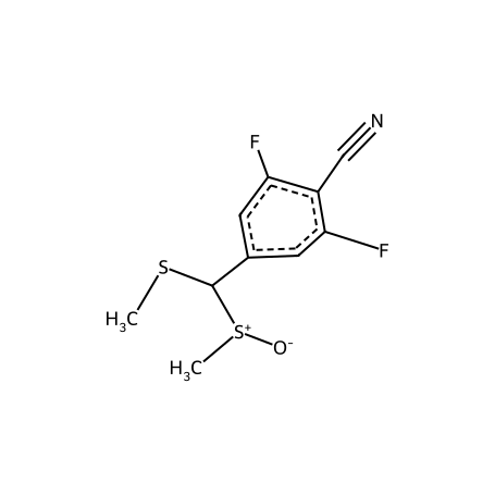 CSC(c1cc(F)c(C#N)c(F)c1)[S+](C)[O-]